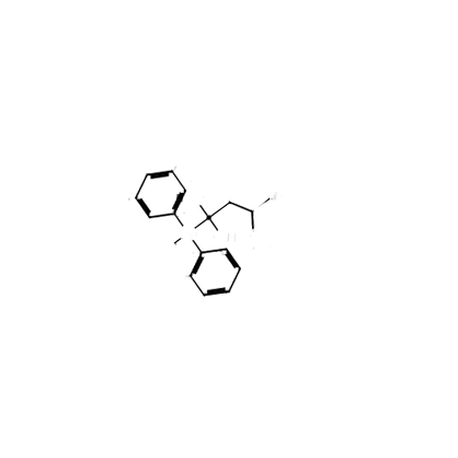 CC(C)[C@H](CC(C)(C)[Si](O)(c1ccccc1)c1ccccc1)C(=O)O